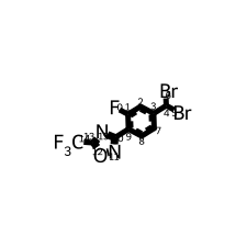 Fc1cc(C(Br)Br)ccc1-c1noc(C(F)(F)F)n1